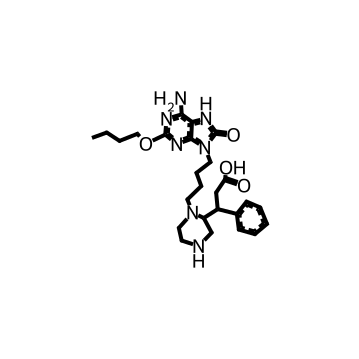 CCCCOc1nc(N)c2[nH]c(=O)n(CCCCN3CCNCC3C(CC(=O)O)c3ccccc3)c2n1